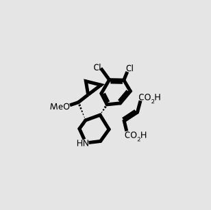 COC(C1CC1)[C@H]1CNCC[C@H]1c1ccc(Cl)c(Cl)c1.O=C(O)/C=C/C(=O)O